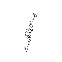 C=C(C)C(=O)OCCCCCCOc1ccc(C(=O)Oc2c(F)c(F)c(OC(=O)c3ccc(OCCCOC(=O)C(=C)C)cc3)c(F)c2F)cc1